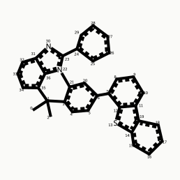 CC1(C)c2ccc(-c3cccc4c3sc3ccccc34)cc2-n2c(-c3ccccc3)nc3cccc1c32